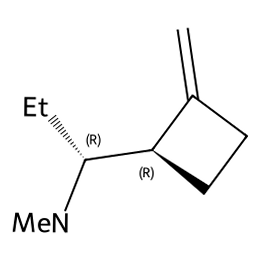 C=C1CC[C@H]1[C@@H](CC)NC